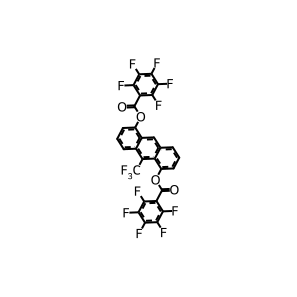 O=C(Oc1cccc2c(C(F)(F)F)c3c(OC(=O)c4c(F)c(F)c(F)c(F)c4F)cccc3cc12)c1c(F)c(F)c(F)c(F)c1F